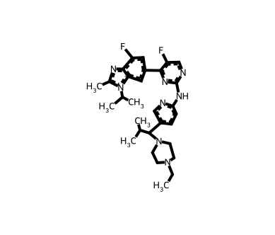 CCN1CCN(C(c2ccc(Nc3ncc(F)c(-c4cc(F)c5nc(C)n(C(C)C)c5c4)n3)nc2)C(C)C)CC1